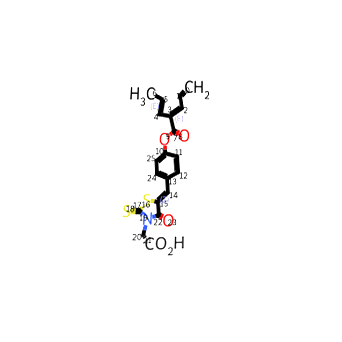 C=C/C=C(\C=C\C)C(=O)Oc1ccc(/C=C2\SC(=S)N(CC(=O)O)C2=O)cc1